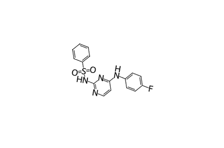 O=S(=O)(Nc1nccc(Nc2ccc(F)cc2)n1)c1ccccc1